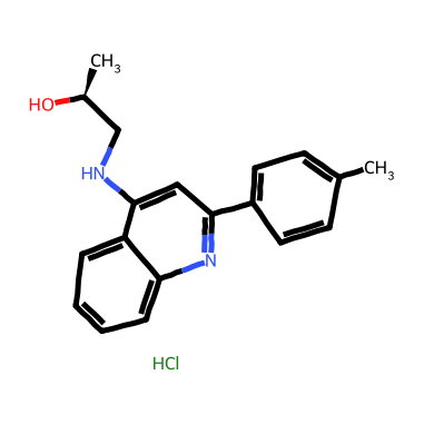 Cc1ccc(-c2cc(NC[C@H](C)O)c3ccccc3n2)cc1.Cl